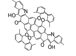 Cc1ccc2nc3c(c(O)c2c1)C(=O)c1cc(Oc2c(C)cccc2C)c2c4c(Oc5c(C)cccc5C)cc5c6c(cc(Oc7c(C)cccc7C)c(c7c(Oc8c(C)cccc8C)cc-3c1c27)c64)-c1nc2ccc(C)cc2c(O)c1C5=O